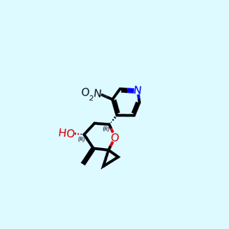 C=C1[C@H](O)C[C@H](c2ccncc2[N+](=O)[O-])OC12CC2